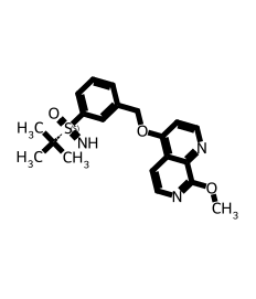 COc1nccc2c(OCc3cccc([S@@](=N)(=O)C(C)(C)C)c3)ccnc12